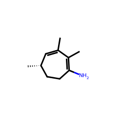 CC1=C[C@@H](C)CCC(N)=C1C